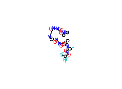 Cc1cc(C(=O)N(C)CCCN(C)C(=O)CO[C@H]2CC3=C(CCC=C3)C23CCN(CC[C@@]2(c4ccc(F)cc4)CN(C(=O)c4cc(C(F)(F)F)cc(C(F)(F)F)c4)CO2)CC3)cc(C)c1CN(C)CCCCCC(=O)N(C)CCN1CCC(OC(=O)Nc2ccccc2-c2ccccc2)CC1